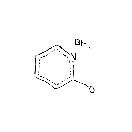 B.[O]c1ccccn1